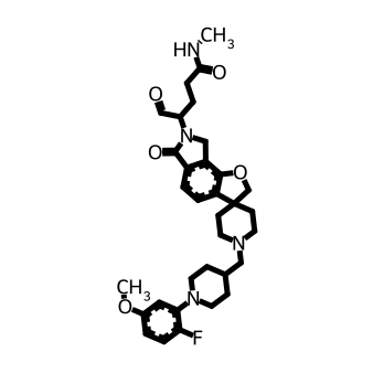 CNC(=O)CCC(C=O)N1Cc2c(ccc3c2OCC32CCN(CC3CCN(c4cc(OC)ccc4F)CC3)CC2)C1=O